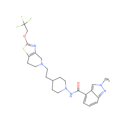 Cn1cc2c(C(=O)NN3CCC(CCN4CCc5sc(OCC(F)(F)F)nc5C4)CC3)cccc2n1